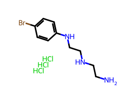 Cl.Cl.Cl.NCCNCCNc1ccc(Br)cc1